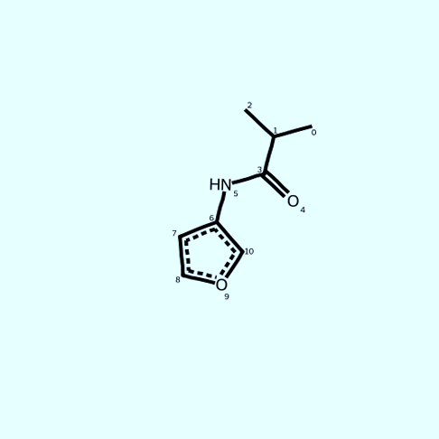 CC(C)C(=O)Nc1ccoc1